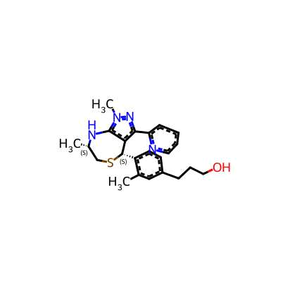 Cc1cc(CCCO)ccc1[C@@H]1SC[C@H](C)Nc2c1c(-c1ccccn1)nn2C